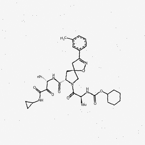 CCC[C@H](NC(=O)[C@@H]1C[C@]2(CC(c3cccc(C)c3)=NO2)CN1C(=O)[C@@H](NC(=O)OC1CCCCC1)C(C)(C)C)C(=O)C(=O)NC1CC1